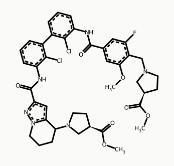 COC(=O)[C@@H]1CCN(Cc2c(F)cc(C(=O)Nc3cccc(-c4cccc(NC(=O)c5cc6n(n5)CCCC6N5CC[C@@H](C(=O)OC)C5)c4Cl)c3Cl)cc2OC)C1